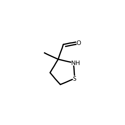 CC1(C=O)CCSN1